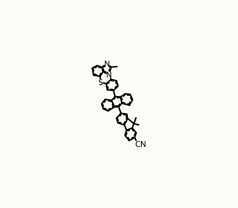 Cc1nc2cccc3c2n1-c1ccc(-c2c4ccccc4c(-c4ccc5c(c4)C(C)(C)c4cc(C#N)ccc4-5)c4ccccc24)cc1S3